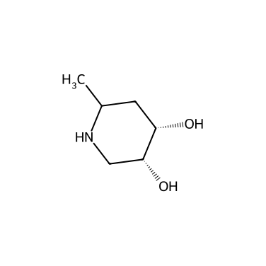 CC1C[C@H](O)[C@H](O)CN1